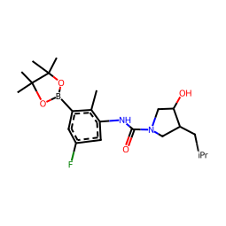 Cc1c(NC(=O)N2CC(O)C(CC(C)C)C2)cc(F)cc1B1OC(C)(C)C(C)(C)O1